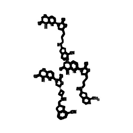 Cc1nccc2c1CC(NCCCC1CN(c3ccc4c(n3)NC(=O)CO4)C(=O)O1)C2.N#Cc1cccc2c1CC(CN[C@H]1C[C@@H](C3CN(c4ccc5c(n4)NC(=O)CO5)C(=O)O3)C1)C2.N#Cc1nccc2c1CC(NCCCC1CN(c3ccc4c(n3)NC(=O)CO4)C(=O)O1)C2